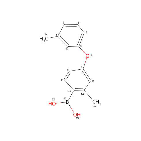 Cc1cccc(Oc2ccc(B(O)O)c(C)c2)c1